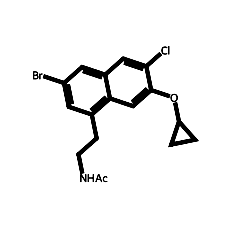 CC(=O)NCCc1cc(Br)cc2cc(Cl)c(OC3CC3)cc12